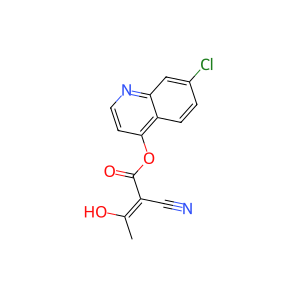 C/C(O)=C(\C#N)C(=O)Oc1ccnc2cc(Cl)ccc12